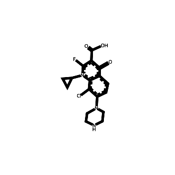 O=C(O)c1c(F)n(C2CC2)c2c(Cl)c(N3CCNCC3)ccc2c1=O